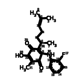 CC(C)=CCC[C@@H](C)C1=C(Nc2ccccc2F)C(=O)C(C)=C(O)C1=O